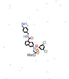 COC(=O)CN(c1ccc2c(C(=O)NCc3ccc(CN)cc3)cccc2c1)S(=O)(=O)c1cc(Cl)cc(Cl)c1